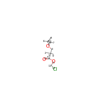 CC(C)(CO[Si](C)(C)C)C(=O)OCCl